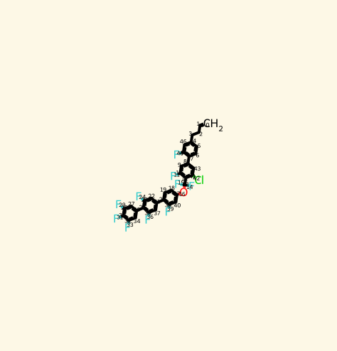 C=CCCc1ccc(-c2cc(F)c(C(F)(F)Oc3ccc(-c4cc(F)c(-c5cc(F)c(F)c(F)c5)c(F)c4)c(F)c3)c(Cl)c2)c(F)c1